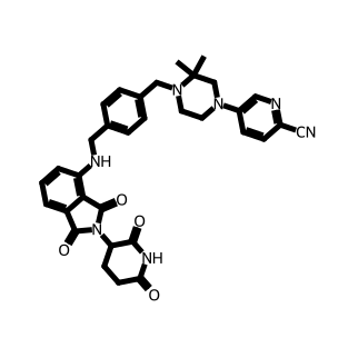 CC1(C)CN(c2ccc(C#N)nc2)CCN1Cc1ccc(CNc2cccc3c2C(=O)N(C2CCC(=O)NC2=O)C3=O)cc1